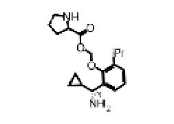 CC(C)c1cccc([C@H](N)C2CC2)c1OCOC(=O)C1CCCN1